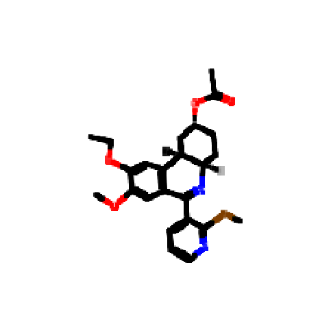 CCOc1cc2c(cc1OC)C(c1cccnc1SC)=N[C@@H]1CC[C@@H](OC(C)=O)C[C@H]21